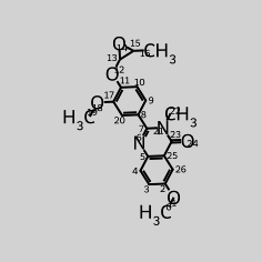 COc1ccc2nc(-c3ccc(OC4OC4C)c(OC)c3)n(C)c(=O)c2c1